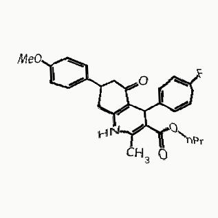 CCCOC(=O)C1=C(C)NC2=C(C(=O)CC(c3ccc(OC)cc3)C2)C1c1ccc(F)cc1